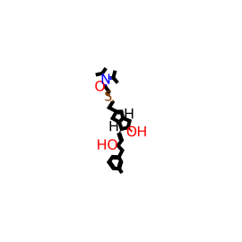 Cc1cccc(C[C@@H](O)/C=C/[C@@H]2[C@H]3CC(CCSCC(=O)N(C(C)C)C(C)C)=C[C@H]3C[C@H]2O)c1